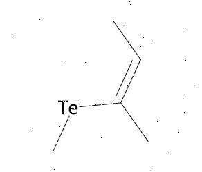 C/C=C(/C)[Te]C